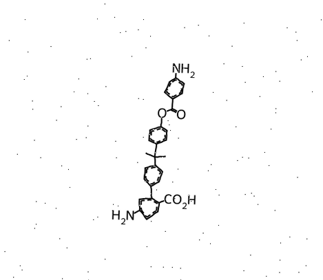 CC(C)(c1ccc(OC(=O)c2ccc(N)cc2)cc1)c1ccc(-c2cc(N)ccc2C(=O)O)cc1